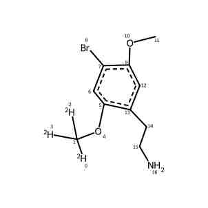 [2H]C([2H])([2H])Oc1cc(Br)c(OC)cc1CCN